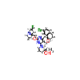 CC1(O)CCCN(c2nc(OCC34CCCN3CC(F)C4)nc3c2COC2(CCCc4ccc(Br)cc42)C3)C1